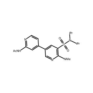 CNc1ncc(-c2ccnc(NC(C)=O)c2)cc1S(=O)(=O)N(C(C)C)C(C)C